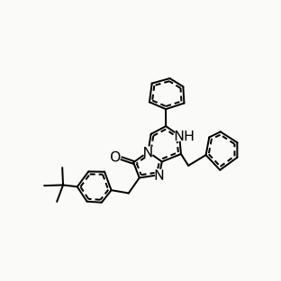 CC(C)(C)c1ccc(Cc2nc3c(Cc4ccccc4)[nH]c(-c4ccccc4)cn-3c2=O)cc1